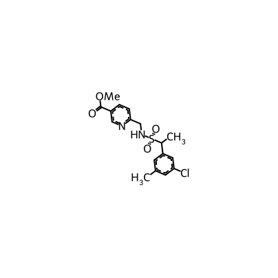 COC(=O)c1ccc(CNS(=O)(=O)C(C)c2cc(C)cc(Cl)c2)nc1